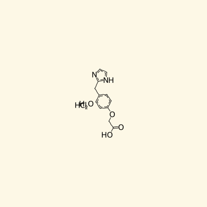 Cl.O.O=C(O)COc1ccc(Cc2ncc[nH]2)cc1